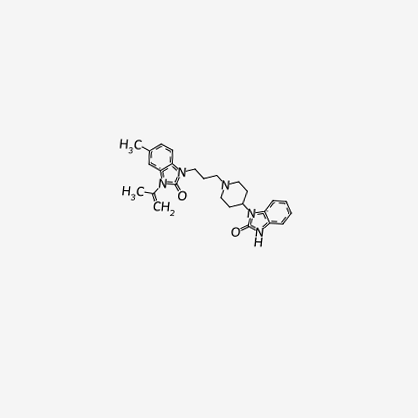 C=C(C)n1c(=O)n(CCCN2CCC(n3c(=O)[nH]c4ccccc43)CC2)c2ccc(C)cc21